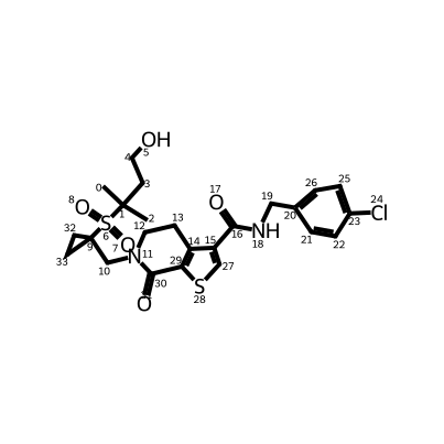 CC(C)(CCO)S(=O)(=O)C1(CN2CCc3c(C(=O)NCc4ccc(Cl)cc4)csc3C2=O)CC1